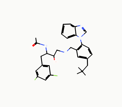 CC(=O)NC(Cc1cc(F)cc(F)c1)C(O)CNCc1cc(CC(C)(C)C)ccc1-n1cnc2ccccc21